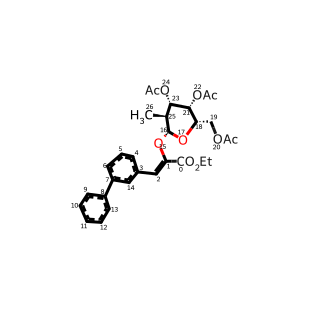 CCOC(=O)/C(=C/c1cccc(-c2ccccc2)c1)O[C@H]1O[C@@H](COC(C)=O)[C@@H](OC(C)=O)[C@@H](OC(C)=O)[C@@H]1C